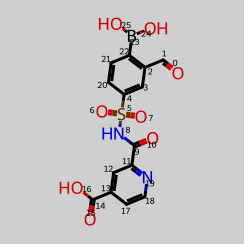 O=Cc1cc(S(=O)(=O)NC(=O)c2cc(C(=O)O)ccn2)ccc1B(O)O